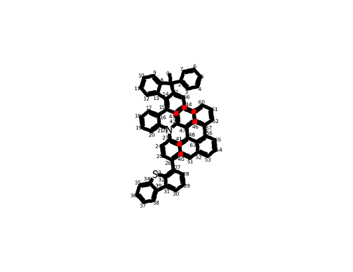 CC1(c2ccccc2)c2ccccc2-c2c(-c3ccccc3N(c3ccc(-c4cccc5c4sc4ccccc45)cc3)c3ccccc3-c3cccc4cccc(-c5ccccc5)c34)cccc21